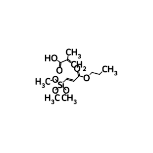 C=C(C)C(=O)O.CCCOC(=O)C=C[Si](OC)(OC)OC